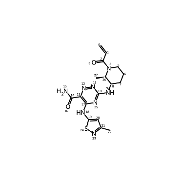 C=CC(=O)N1CCC[C@@H](Nc2nnc(C(N)=O)c(Nc3cc(C)ns3)n2)[C@H]1C